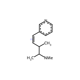 CNC(C)C(C)/C=C\c1cccnc1